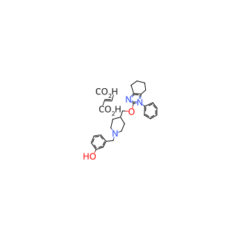 O=C(O)C=CC(=O)O.Oc1cccc(CN2CCC(COc3nc4c(n3-c3ccccc3)CCCC4)CC2)c1